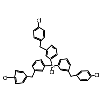 Clc1ccc(Cc2cccc([Si](Cl)(c3cccc(Cc4ccc(Cl)cc4)c3)c3cccc(Cc4ccc(Cl)cc4)c3)c2)cc1